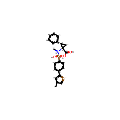 Cc1csc(-c2ccc(S(=O)(=O)N(C)[C@]3(C(=O)O)C[C@H]3c3ccccc3)cc2)c1